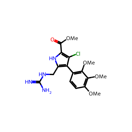 COC(=O)c1[nH]c(CNC(=N)N)c(-c2ccc(OC)c(OC)c2OC)c1Cl